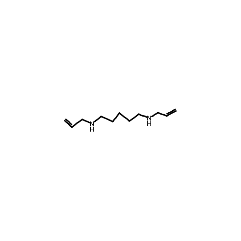 C=CCNCCCCCNCC=C